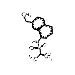 CCc1ccc2cccc(NS(=O)(=O)C(C)C)c2c1